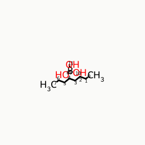 CCCCCCCC.OB(O)O